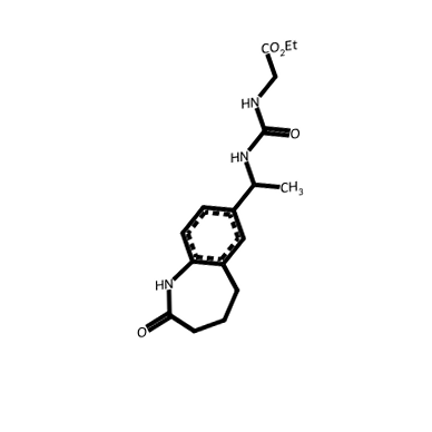 CCOC(=O)CNC(=O)NC(C)c1ccc2c(c1)CCCC(=O)N2